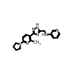 Cc1nc(N2CCCC2)ccc1-c1n[nH]c(CNc2cccnc2)n1